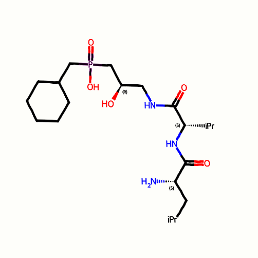 CC(C)C[C@H](N)C(=O)N[C@H](C(=O)NC[C@@H](O)CP(=O)(O)CC1CCCCC1)C(C)C